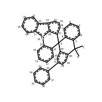 CC1(C)c2ccccc2C2(c3ccccc3-n3c4ccccc4c4cccc2c43)c2cc(-c3ccccc3)ccc21